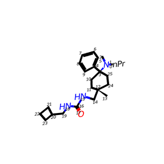 CCCN(C)[C@]1(c2ccccc2)CC[C@@](C)(CNC(=O)NCC2CCC2)CC1